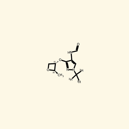 [2H]C([2H])([2H])n1cc(NC=O)c(O[C@H]2CO[C@@H]2C)n1